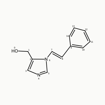 OCc1cncn1C=Cc1ccccc1